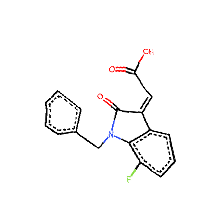 O=C(O)C=C1C(=O)N(Cc2ccccc2)c2c(F)cccc21